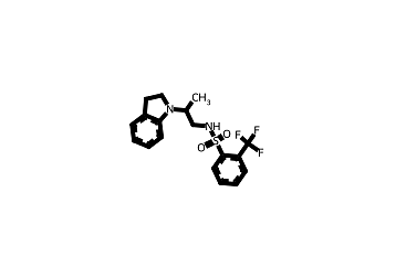 CC(CNS(=O)(=O)c1ccccc1C(F)(F)F)N1CCc2ccccc21